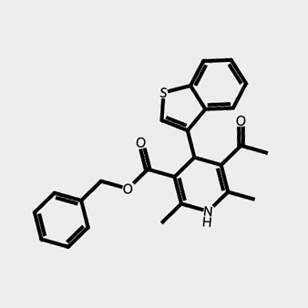 CC(=O)C1=C(C)NC(C)=C(C(=O)OCc2ccccc2)C1c1csc2ccccc12